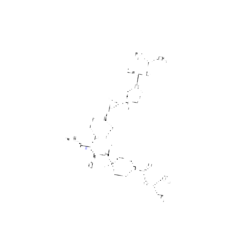 C=N/N=C(/C(=O)N(C)C1(C)CCN(C(=O)OC(C(F)(F)F)C(F)(F)F)CC1)N1CCN(C2CC2C2(C)CCN(C(=O)OC(C(F)(F)F)C(F)(F)F)C2)CC1